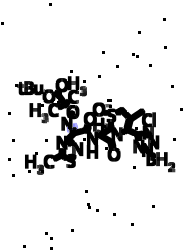 Bn1nnc(C2=C(CCl)C[S+]([O-])[C@@H]3[C@H](NC(=O)/C(=N\OC(C)(C)C(=O)OC(C)(C)C)c4nsc(C)n4)C(=O)N23)n1